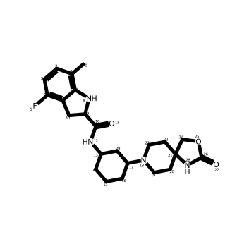 Cc1ccc(F)c2c1NC(C(=O)NC1CCCC(N3CCC4(CC3)COC(=O)N4)C1)C2